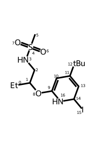 CCC(CNS(C)(=O)=O)OC1=CC(C(C)(C)C)=CC(I)N1